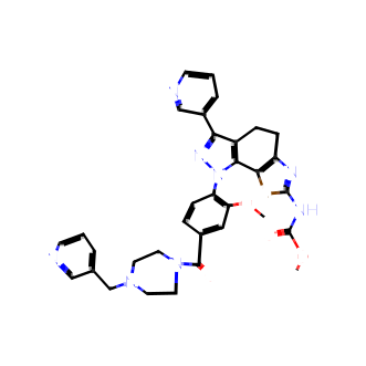 COC(=O)Nc1nc2c(s1)-c1c(c(-c3cccnc3)nn1-c1ccc(C(=O)N3CCN(Cc4cccnc4)CC3)cc1OC)CC2